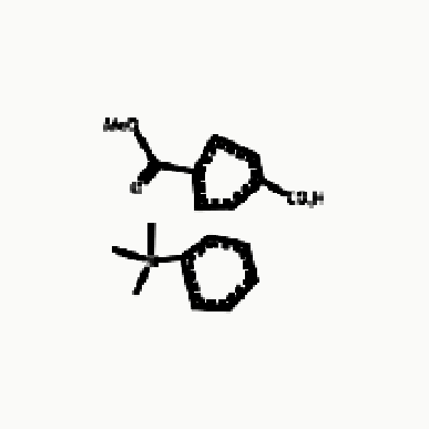 COC(=O)c1ccc(C(=O)O)cc1.C[Si](C)(C)c1ccccc1